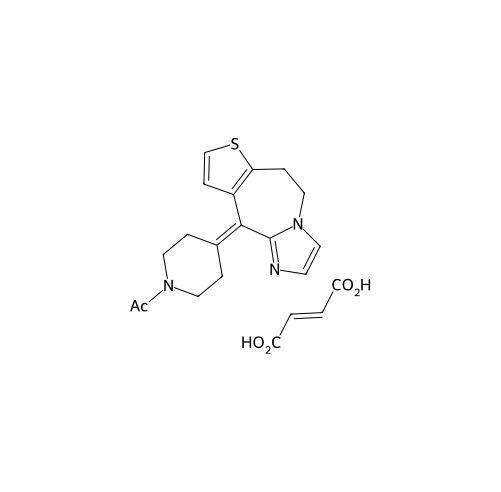 CC(=O)N1CCC(=C2c3ccsc3CCn3ccnc32)CC1.O=C(O)C=CC(=O)O